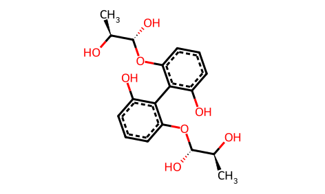 C[C@H](O)[C@H](O)Oc1cccc(O)c1-c1c(O)cccc1O[C@@H](O)[C@H](C)O